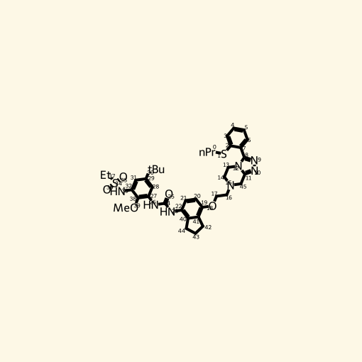 CCCSc1ccccc1-c1nnc2n1CCN(CCOc1ccc(NC(=O)Nc3cc(C(C)(C)C)cc(NS(=O)(=O)CC)c3OC)c3c1CCC3)C2